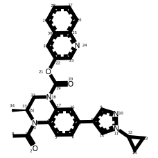 CC(=O)N1c2ccc(-c3cnn(C4CC4)c3)cc2N(C(=O)Oc2cnc3ccccc3c2)C[C@@H]1C